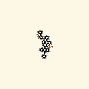 CC1=C(c2c(S)cccc2-c2c3ccccc3c(-c3ccc4sc5ccccc5c4c3)c3ccccc23)C(C)CC=C1c1c2ccccc2c(C2C3C=CC=CC32)c2ccccc12